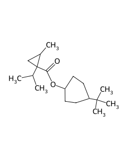 CC(C)C1(C(=O)OC2CCC(C(C)(C)C)CC2)CC1C